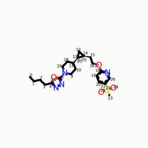 CCCCc1nnc(N2CCC([C@H]3C[C@H]3CCOc3ccc(S(C)(=O)=O)cn3)CC2)o1